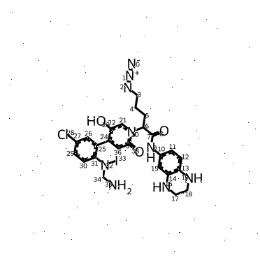 [N-]=[N+]=NCCCC(C(=O)Nc1ccc2c(c1)NCCN2)n1cc(O)c(-c2cc(Cl)ccc2N(I)CN)cc1=O